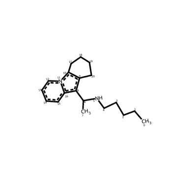 CCCCCNC(C)c1c2c(n3ccccc13)CCCC2